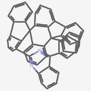 c1ccc(-c2nc(-c3cccc4c3C3(c5ccccc5-4)c4ccccc4C4(c5ccccc5)c5ccccc5-c5cccc3c54)nc3ccccc23)cc1